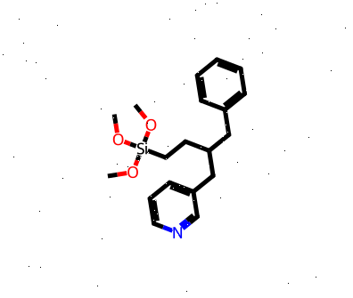 CO[Si](CCC(Cc1ccccc1)Cc1cccnc1)(OC)OC